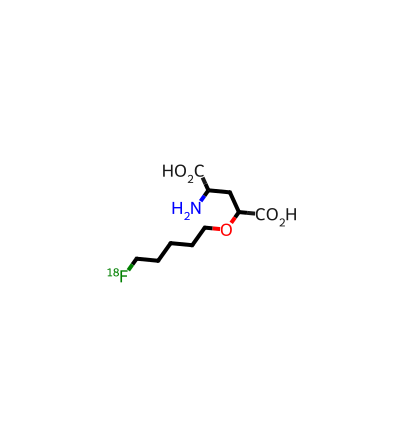 NC(CC(OCCCCC[18F])C(=O)O)C(=O)O